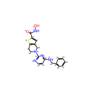 O=C(NO)c1cc2c(s1)CCN(c1nccc(NCc3ccccc3)n1)C2